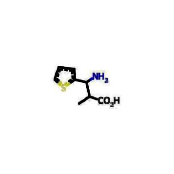 CC(C(=O)O)C(N)c1cccs1